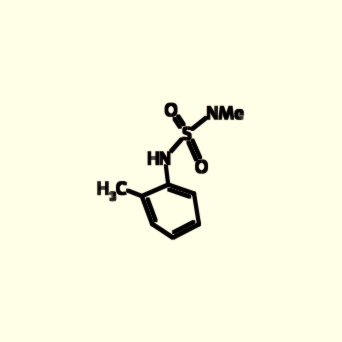 CNS(=O)(=O)Nc1ccccc1C